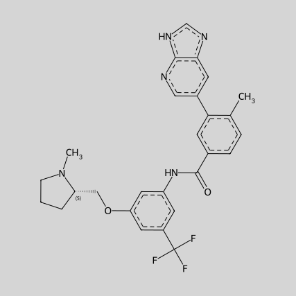 Cc1ccc(C(=O)Nc2cc(OC[C@@H]3CCCN3C)cc(C(F)(F)F)c2)cc1-c1cnc2[nH]cnc2c1